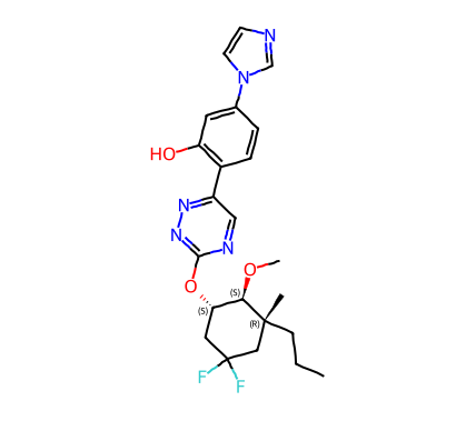 CCC[C@]1(C)CC(F)(F)C[C@H](Oc2ncc(-c3ccc(-n4ccnc4)cc3O)nn2)[C@H]1OC